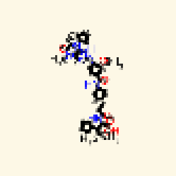 CC[C@@H]1C(=O)N(C)c2cnc(Nc3ccc(C(=O)N[C@H]4CC[C@@H](CCC(=O)N[C@H](C(=O)O)C(C(C)C)C5CCCC5)CC4)cc3OC)nc2N1C1CCCC1